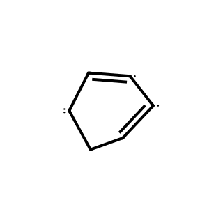 [C]1C=[C][C]=CC1